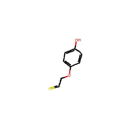 Oc1ccc(OC[C]=S)cc1